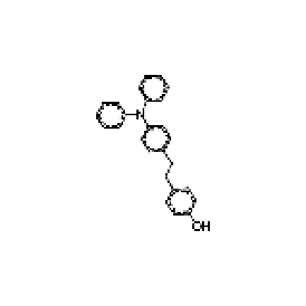 Oc1ccc(CCc2ccc(N(c3ccccc3)c3ccccc3)cc2)cc1